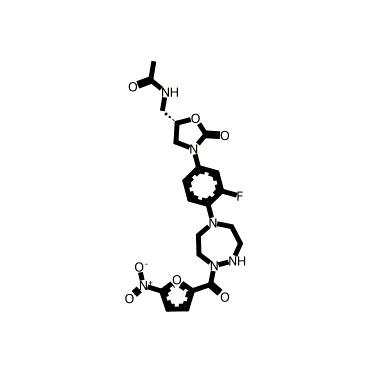 CC(=O)NC[C@H]1CN(c2ccc(N3CCNN(C(=O)c4ccc([N+](=O)[O-])o4)CC3)c(F)c2)C(=O)O1